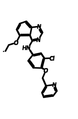 [CH2]COc1cccc2ncnc(Nc3ccc(OCc4ccccn4)c(Cl)c3)c12